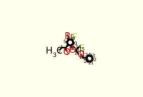 CCC(=O)c1cc(Br)c(F)cc1OC(CF)COCc1ccccc1